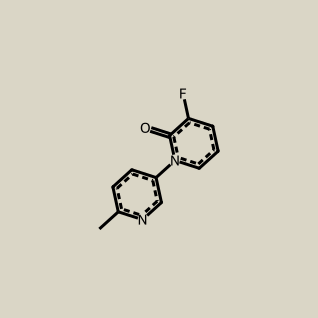 Cc1ccc(-n2cccc(F)c2=O)cn1